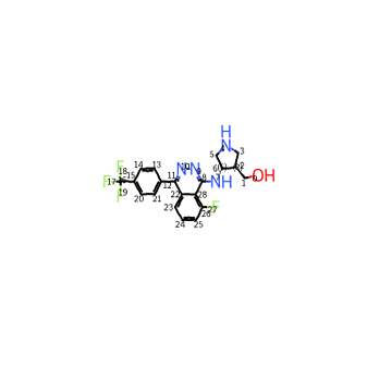 OC[C@@H]1CNC[C@H]1Nc1nnc(-c2ccc(C(F)(F)F)cc2)c2cccc(F)c12